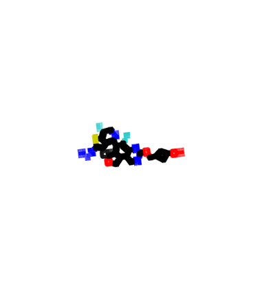 N#Cc1c(N)sc2c(F)cnc(-c3c4c(c5cnc(OCC6CC(O)C6)nc5c3F)COC4)c12